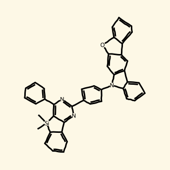 C[Si]1(C)c2ccccc2-c2nc(-c3ccc(-n4c5ccccc5c5cc6c(cc54)oc4ccccc46)cc3)nc(-c3ccccc3)c21